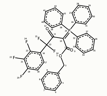 O=C(OCc1ccccc1)C(C(=O)C(F)(F)c1ccc(F)c(F)c1F)=P(c1ccccc1)(c1ccccc1)c1ccccc1